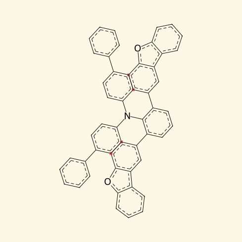 c1ccc(-c2ccc(N(c3ccc(-c4ccccc4)cc3)c3c(-c4ccc5oc6ccccc6c5c4)cccc3-c3ccc4oc5ccccc5c4c3)cc2)cc1